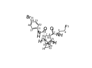 O=C(NCCF)[C@@H]1[C@@H](C(=O)Nc2ccc(Br)cc2)[C@@H]2C=C[C@@H]1C21CC1